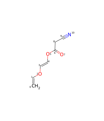 C=COC=COC(=O)CC#N